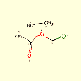 CC#N.CCCC(=O)OCCl